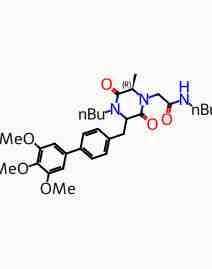 CCCCNC(=O)CN1C(=O)C(Cc2ccc(-c3cc(OC)c(OC)c(OC)c3)cc2)N(CCCC)C(=O)[C@H]1C